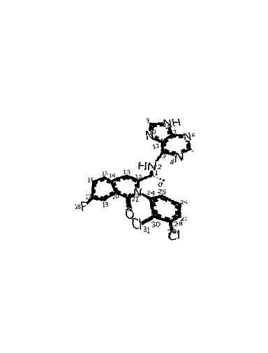 C[C@@H](Nc1ncnc2[nH]cnc12)c1cc2ccc(F)cc2c(=O)n1-c1cccc(Cl)c1Cl